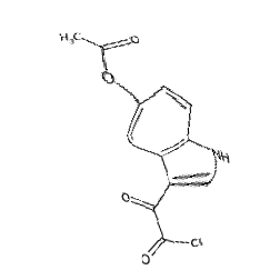 CC(=O)Oc1ccc2[nH]cc(C(=O)C(=O)Cl)c2c1